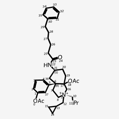 CC(=O)Oc1cccc([C@]23CC[N@+](CC(C)C)(CC4CC4)CC2(OC(C)=O)CC[C@H](NC(=O)CCCCCc2ccccc2)C3)c1